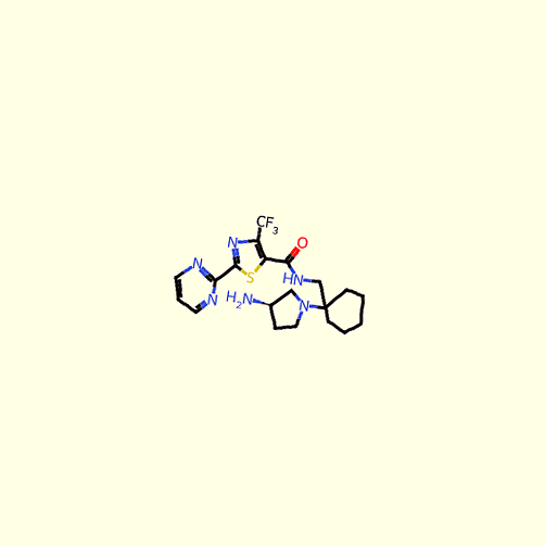 N[C@@H]1CCN(C2(CNC(=O)c3sc(-c4ncccn4)nc3C(F)(F)F)CCCCC2)C1